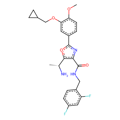 COc1ccc(-c2nc(C(=O)NCc3ccc(F)cc3F)c([C@@H](C)N)o2)cc1OCC1CC1